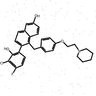 Oc1ccc2c(Cc3ccc(OCCN4CCCCC4)cc3)c(-c3ccc(F)c(Cl)c3O)ccc2c1